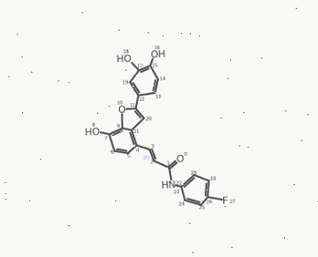 O=C(/C=C/c1ccc(O)c2oc(-c3ccc(O)c(O)c3)cc12)Nc1ccc(F)cc1